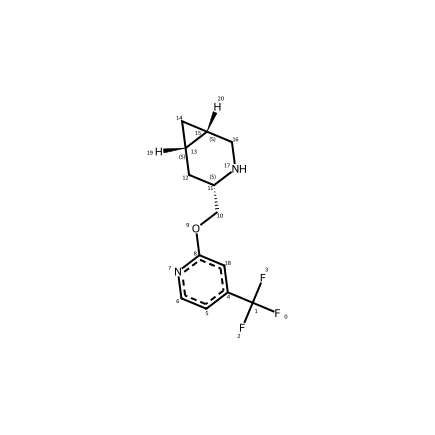 FC(F)(F)c1ccnc(OC[C@@H]2C[C@@H]3C[C@@H]3CN2)c1